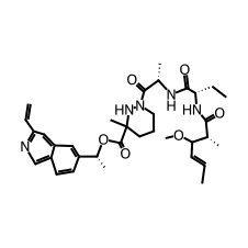 C=Cc1cc2cc([C@@H](C)OC(=O)C3(C)CCCN(C(=O)[C@H](C)NC(=O)[C@H](CC)NC(=O)[C@H](C)C(/C=C/C)OC)N3)ccc2cn1